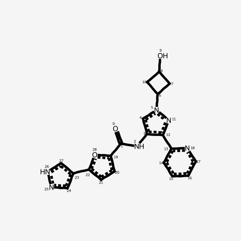 O=C(Nc1cn(C2CC(O)C2)nc1-c1ccccn1)c1ccc(-c2cn[nH]c2)o1